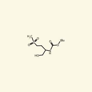 CC(C)(C)OC(=O)NC(CO)CCS(C)(=O)=O